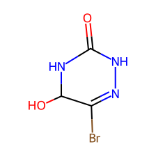 O=C1NN=C(Br)C(O)N1